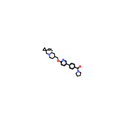 CC1(CN2CCC(COc3ccc(-c4ccc(C(=O)N5CCCC5)cc4)cn3)CC2)CC1